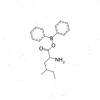 CCC(C)CC(N)C(=O)OB(c1ccccc1)c1ccccc1